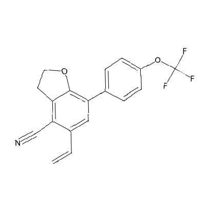 C=Cc1cc(-c2ccc(OC(F)(F)F)cc2)c2c(c1C#N)CCO2